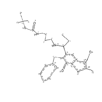 CCC(NCCCNC(=O)OC(C)(C)C)c1cc2c(Cl)c(C)nn2c(=O)n1Cc1ccccc1